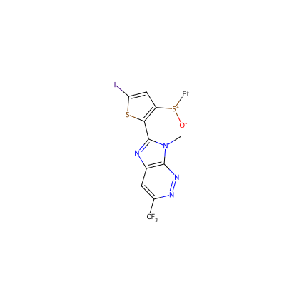 CC[S+]([O-])c1cc(I)sc1-c1nc2cc(C(F)(F)F)nnc2n1C